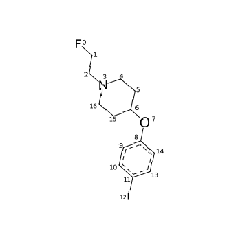 FCCN1CCC(Oc2ccc(I)cc2)CC1